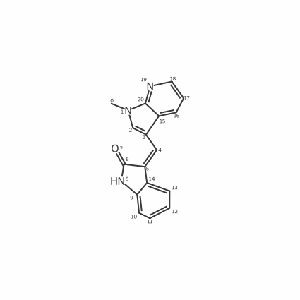 Cn1cc(C=C2C(=O)Nc3ccccc32)c2cccnc21